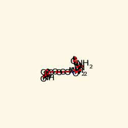 N/C(=C\N(N)CCOCCOCCOCCOCCOc1cccc2c1C(=O)N(C1CCC(=O)NC1=O)C2=O)C(=O)N1CCCC(n2nc(-c3ccc(Oc4ccccc4)cc3)c3c(N)ncnc32)C1